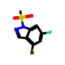 CS(=O)(=O)n1ncc2c(Br)cc(F)cc21